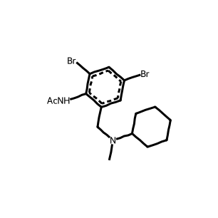 CC(=O)Nc1c(Br)cc(Br)cc1CN(C)C1CCCCC1